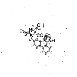 CCOC(=O)c1c(C(C)(C)O)nc(SCC)n1Cc1ccc(-c2ccccc2-c2nnn[nH]2)cc1